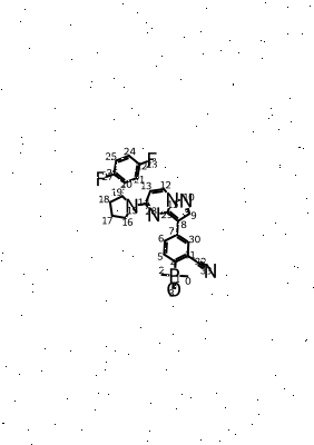 CP(C)(=O)c1ccc(-c2cnn3ccc(N4CCC[C@@H]4c4cc(F)ccc4F)nc23)cc1C#N